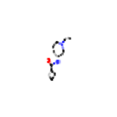 CCN1CCCC(NC(=O)C2CCC2)CC1